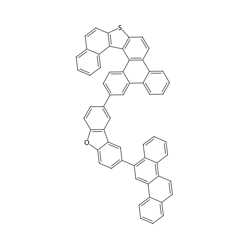 c1ccc2c(c1)ccc1c3ccccc3c(-c3ccc4oc5ccc(-c6ccc7c(c6)c6ccccc6c6ccc8sc9ccc%10ccccc%10c9c8c67)cc5c4c3)cc21